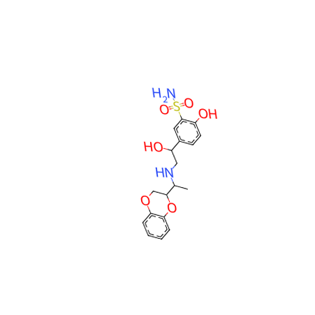 CC(NCC(O)c1ccc(O)c(S(N)(=O)=O)c1)C1COc2ccccc2O1